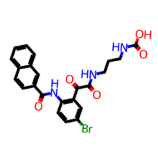 O=C(O)NCCCNC(=O)C(=O)c1cc(Br)ccc1NC(=O)c1ccc2ccccc2c1